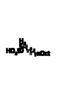 CCCCCCCCCCCCCCC(C)OS(=O)(=O)O